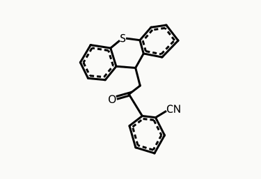 N#Cc1ccccc1C(=O)CC1c2ccccc2Sc2ccccc21